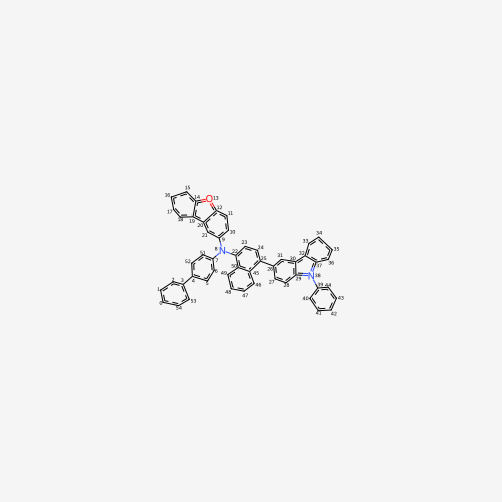 c1ccc(-c2ccc(N(c3ccc4oc5ccccc5c4c3)c3ccc(-c4ccc5c(c4)c4ccccc4n5-c4ccccc4)c4ccccc34)cc2)cc1